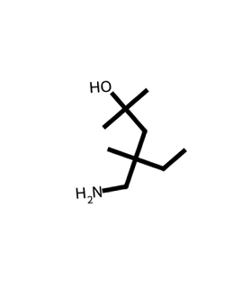 CCC(C)(CN)CC(C)(C)O